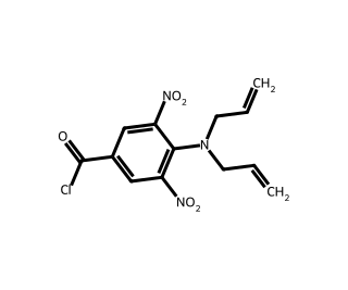 C=CCN(CC=C)c1c([N+](=O)[O-])cc(C(=O)Cl)cc1[N+](=O)[O-]